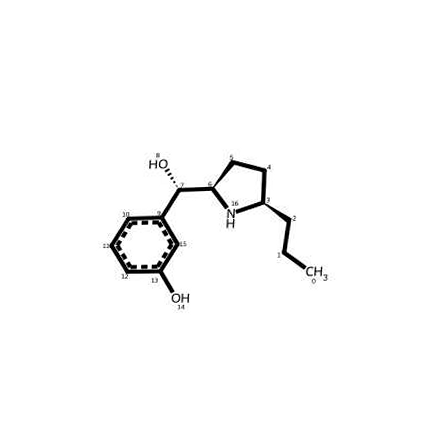 CCC[C@@H]1CC[C@H]([C@@H](O)c2cccc(O)c2)N1